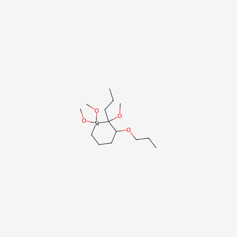 CCCOC1CCC[Si](OC)(OC)C1(CCC)OC